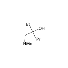 CCC(O)(CNC)C(C)C